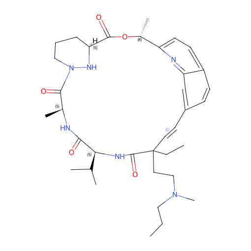 CCCN(C)CCC1(CC)/C=C/c2ccc3ccc(nc3c2)[C@@H](C)OC(=O)[C@@H]2CCCN(N2)C(=O)[C@H](C)NC(=O)[C@H](C(C)C)NC1=O